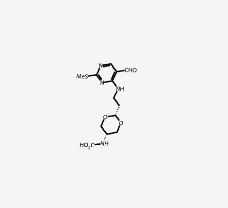 CSc1ncc(C=O)c(NCC[C@H]2OC[C@@H](NC(=O)O)CO2)n1